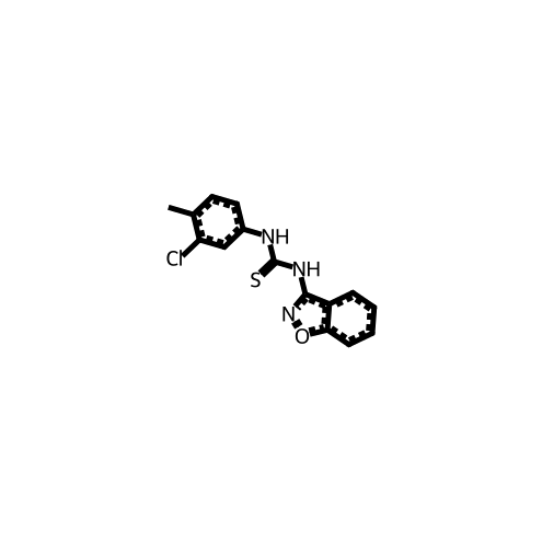 Cc1ccc(NC(=S)Nc2noc3ccccc23)cc1Cl